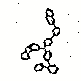 c1ccc(-c2ccccc2-c2ccc(N(c3ccc(-c4cccc(-c5ccc6ccccc6c5)c4)cc3)c3ccc4sc5ccccc5c4c3)cc2)cc1